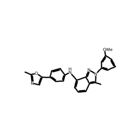 COc1cccc(-n2nc3c(Nc4ccc(-c5cnc(C)o5)cc4)cccc3c2C)c1